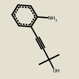 CC(C)(O)C#Cc1ccccc1N